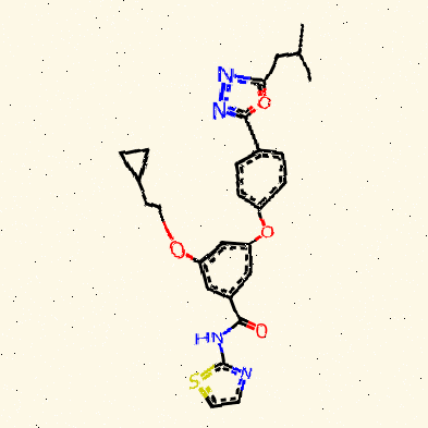 CC(C)Cc1nnc(-c2ccc(Oc3cc(OCCC4CC4)cc(C(=O)Nc4nccs4)c3)cc2)o1